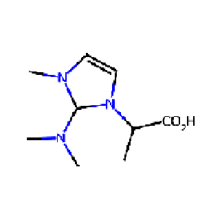 CC(C(=O)O)N1C=CN(C)C1N(C)C